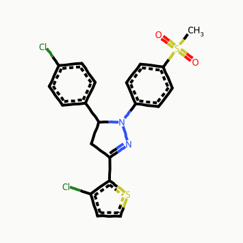 CS(=O)(=O)c1ccc(N2N=C(c3sccc3Cl)CC2c2ccc(Cl)cc2)cc1